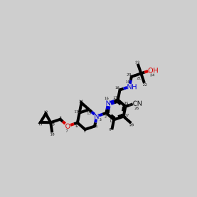 Cc1c(N2CCC(OCC3(C)CC3)C3CC32)nc(CNCC(C)(C)O)c(C#N)c1C